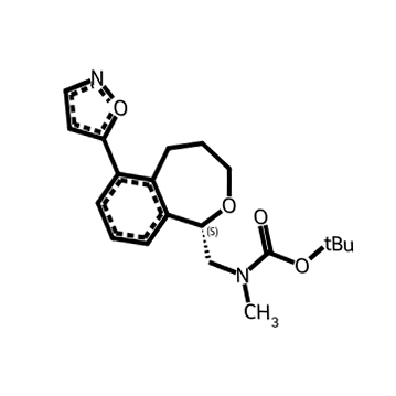 CN(C[C@H]1OCCCc2c(-c3ccno3)cccc21)C(=O)OC(C)(C)C